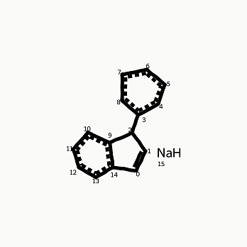 C1=CC(c2ccccc2)c2ccccc21.[NaH]